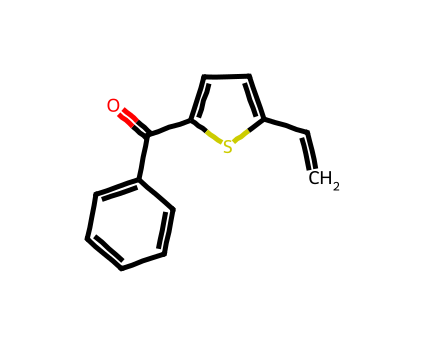 C=Cc1ccc(C(=O)c2ccccc2)s1